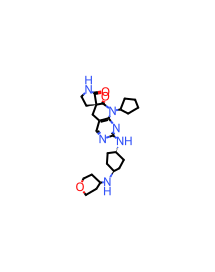 O=C1NCC[C@@]12Cc1cnc(N[C@H]3CC[C@H](NC4CCOCC4)CC3)nc1N(C1CCCC1)C2=O